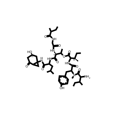 CCC(C)C(=O)NCC(=O)N[C@H](C(=O)NC(CC(C)C)C(=O)NC12CC1C(=O)C[C@@H](O)C2)C(C)OC(=O)C(NC(=O)C(Cc1ccc(O)cc1)N(C)C(=O)C(N)C(C)CC)[C@H](C)CC